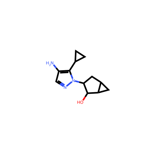 Nc1cnn(C2CC3CC3C2O)c1C1CC1